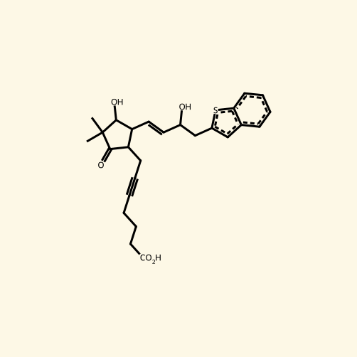 CC1(C)C(=O)C(CC#CCCCC(=O)O)C(C=CC(O)Cc2cc3ccccc3s2)C1O